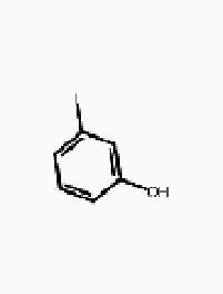 Oc1c[c]cc(I)c1